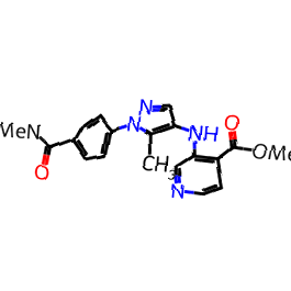 CNC(=O)c1ccc(-n2ncc(Nc3cnccc3C(=O)OC)c2C)cc1